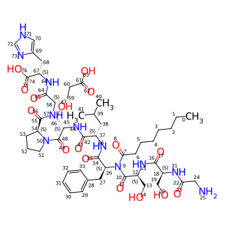 CCCCCCCC(=O)N(C(=O)[C@H](CO)NC(=O)[C@H](CO)NC(=O)CN)[C@@H](Cc1ccccc1)C(=O)N[C@@H](CC(C)C)C(=O)N[C@@H](CO)C(=O)N1CCC[C@H]1C(=O)N[C@@H](CCC(=O)O)C(=O)N[C@@H](Cc1c[nH]cn1)C(=O)O